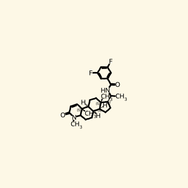 CC(NC(=O)c1cc(F)cc(F)c1)[C@H]1CC[C@H]2[C@@H]3CCC4N(C)C(=O)C=C[C@]4(C)[C@H]3CC[C@]12C